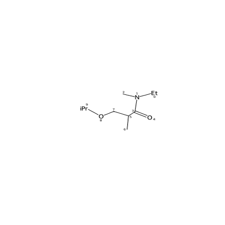 CCN(C)C(=O)C(C)COC(C)C